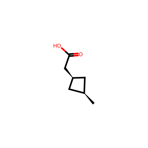 C[C@H]1C[C@@H](CC(=O)O)C1